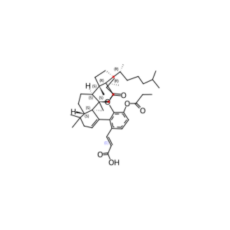 CCC(=O)Oc1ccc(/C=C/C(=O)O)c(C2=CCC(C)(C)[C@@H]3CC[C@@H]4[C@]5(CC[C@]6(C)[C@@H]([C@H](C)CCCC(C)C)CC[C@@]46C)C[C@]235)c1OC(=O)CC